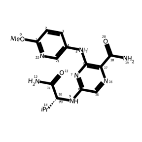 COc1ccc(Nc2nc(N[C@@H](C(N)=O)C(C)C)cnc2C(N)=O)cn1